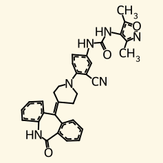 Cc1noc(C)c1NC(=O)Nc1ccc(N2CCC(=C3c4ccccc4NC(=O)c4ccccc43)CC2)c(C#N)c1